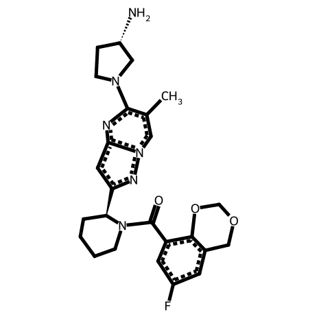 Cc1cn2nc([C@@H]3CCCCN3C(=O)c3cc(F)cc4c3OCOC4)cc2nc1N1CC[C@H](N)C1